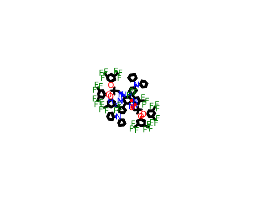 Nc1c(NNCC(COc2cc(C(F)(F)F)cc(C(F)(F)F)c2)(COc2cc(C(F)(F)F)cc(C(F)(F)F)c2)COc2cc(C(F)(F)F)cc(C(F)(F)F)c2)c(-c2ccc(N(c3ccccc3)c3ccccc3)cc2)c2nn(CC(COc3cc(C(F)(F)F)cc(C(F)(F)F)c3)(COc3cc(C(F)(F)F)cc(C(F)(F)F)c3)COc3cc(C(F)(F)F)cc(C(F)(F)F)c3)nc2c1-c1ccc(N(c2ccccc2)c2ccccc2)cc1